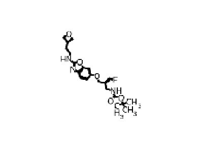 CC(C)(C)OC(=O)NCC(=CF)COc1ccc2nc(NCCC3COC3)oc2c1